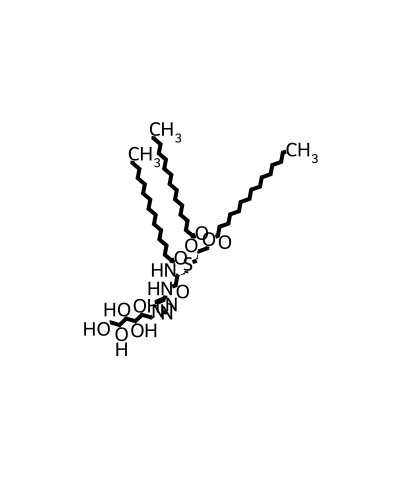 CCCCCCCCCCCCCCC(=O)N[C@H](CSC[C@@H](COC(=O)CCCCCCCCCCCCCC)OC(=O)CCCCCCCCCCCCCC)C(=O)Nc1cn(C[C@H](O)[C@H](O)[C@H](O)[C@H](O)CO)nn1